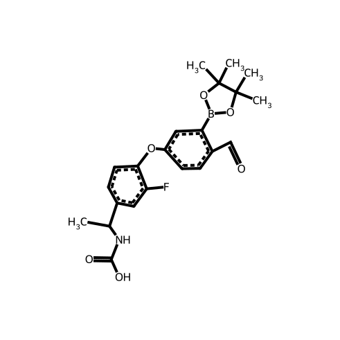 CC(NC(=O)O)c1ccc(Oc2ccc(C=O)c(B3OC(C)(C)C(C)(C)O3)c2)c(F)c1